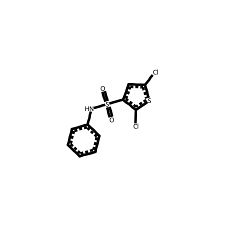 O=S(=O)(Nc1ccccc1)c1cc(Cl)sc1Cl